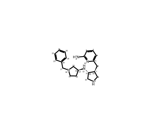 Nc1cccc(C[C@H]2CNC[C@@H]2N[C@H]2CCN(Cc3ccccc3)C2)n1